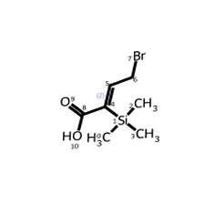 C[Si](C)(C)/C(=C\CBr)C(=O)O